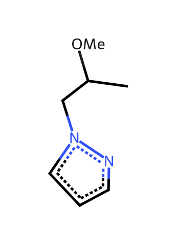 COC(C)Cn1cccn1